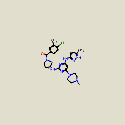 CCN1CCN(c2cc(Nc3cc(C)[nH]n3)nc(N[C@H]3CCN(C(=O)c4ccc(Cl)c(C)c4)C3)n2)CC1